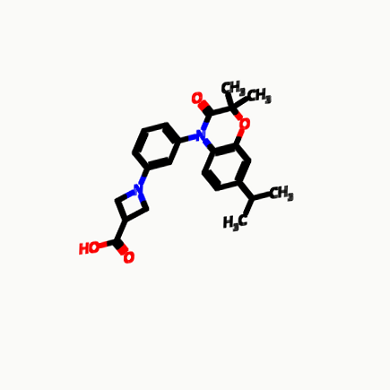 CC(C)c1ccc2c(c1)OC(C)(C)C(=O)N2c1cccc(N2CC(C(=O)O)C2)c1